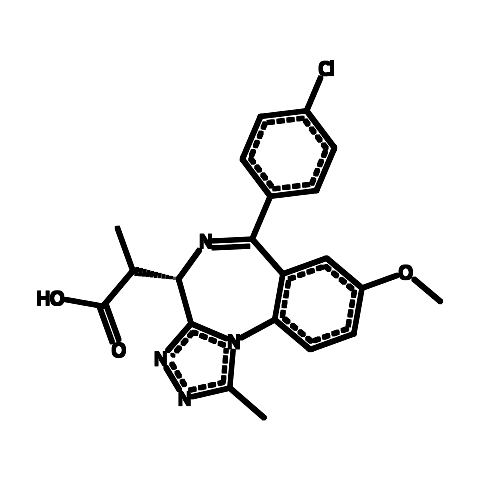 COc1ccc2c(c1)C(c1ccc(Cl)cc1)=N[C@@H](C(C)C(=O)O)c1nnc(C)n1-2